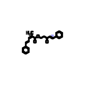 CC(=CC=Cc1ccccc1)C(=O)OCCC(=O)/C=C/c1ccccc1